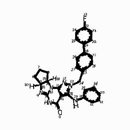 O=C1NC2=N[C@@H]3CCC[C@@H]3N2c2nn(Cc3ccc(-c4ccc(F)cc4)cc3)c(Nc3ccccc3)c21